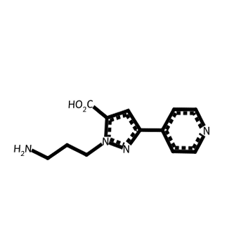 NCCCn1nc(-c2ccncc2)cc1C(=O)O